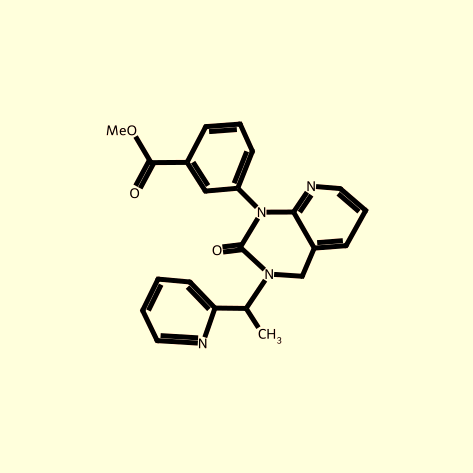 COC(=O)c1cccc(N2C(=O)N(C(C)c3ccccn3)Cc3cccnc32)c1